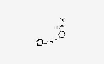 CC(C)(C)OC(=O)N[C@H]1CCC[C@@H](CNC(=O)OCc2ccccc2)C1